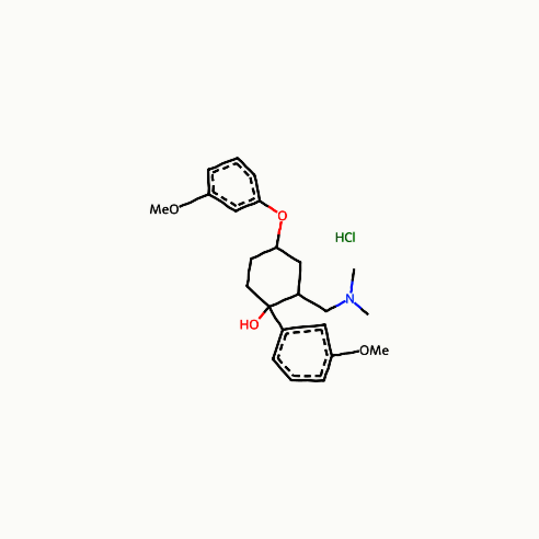 COc1cccc(OC2CCC(O)(c3cccc(OC)c3)C(CN(C)C)C2)c1.Cl